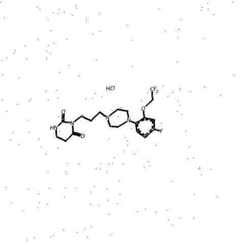 Cl.O=C1CCNC(=O)N1CCCN1CCN(c2ccc(F)cc2OCC(F)(F)F)CC1